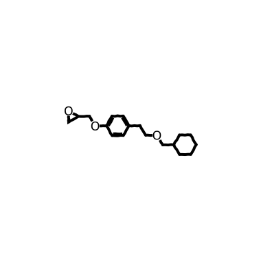 c1cc(OCC2CO2)ccc1CCOCC1CCCCC1